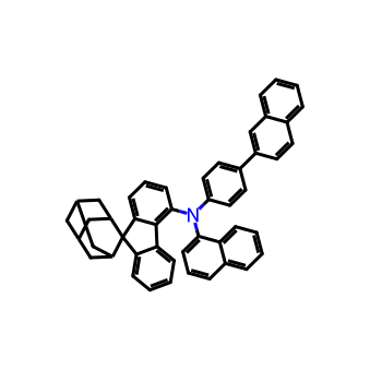 c1ccc2c(c1)-c1c(N(c3ccc(-c4ccc5ccccc5c4)cc3)c3cccc4ccccc34)cccc1C21C2CC3CC(C2)CC1C3